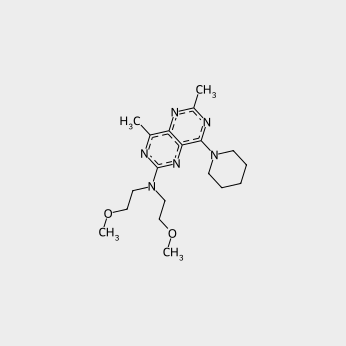 COCCN(CCOC)c1nc(C)c2nc(C)nc(N3CCCCC3)c2n1